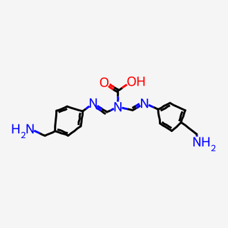 NCc1ccc(N=CN(C=Nc2ccc(CN)cc2)C(=O)O)cc1